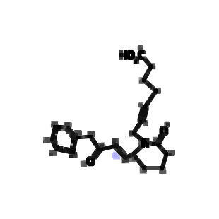 O=C(O)CCCC#CCN1C(=O)CCCC1/C=C/C(=O)Cc1ccccc1